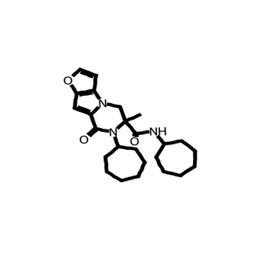 CC1(C(=O)NC2CCCCCC2)Cn2c(cc3occc32)C(=O)N1C1CCCCCC1